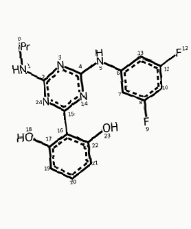 CC(C)Nc1nc(Nc2cc(F)cc(F)c2)nc(-c2c(O)cccc2O)n1